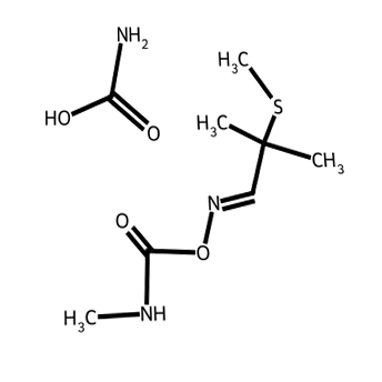 CNC(=O)O/N=C/C(C)(C)SC.NC(=O)O